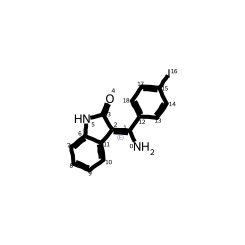 N/C(=C1/C(=O)Nc2ccccc21)c1ccc(I)cc1